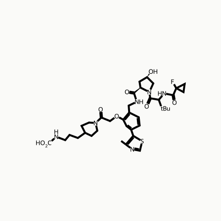 Cc1ncsc1-c1ccc(CNC(=O)[C@H]2C[C@H](O)CN2C(=O)C(NC(=O)C2(F)CC2)C(C)(C)C)c(OCC(=O)N2CCC(CCCNC(=O)O)CC2)c1